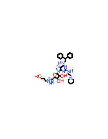 OCCCn1nnc([C@H]2O[C@@H](n3cnc4c(NCC(c5ccccc5)c5ccccc5)nc(NCCN5CCCCC5)nc43)[C@H](O)[C@@H]2O)n1